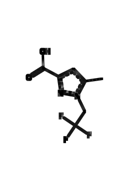 Cc1cc(C(=O)O)nn1CC(F)(F)F